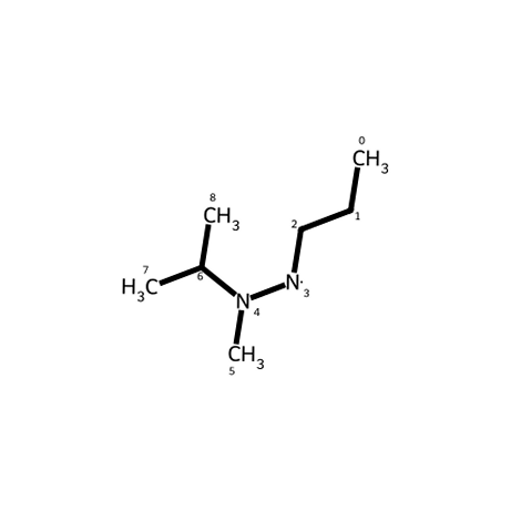 CCC[N]N(C)C(C)C